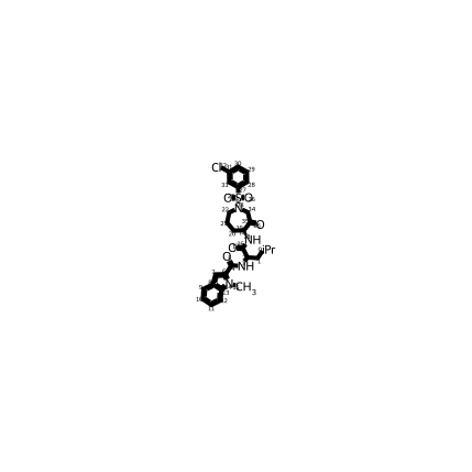 CC(C)CC(NC(=O)c1cc2ccccc2n1C)C(=O)N[C@H]1CCCN(S(=O)(=O)c2cccc(Cl)c2)CC1=O